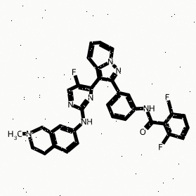 CN1CCc2ccc(Nc3ncc(F)c(-c4c(-c5cccc(NC(=O)c6c(F)cccc6F)c5)nn5ccccc45)n3)cc2C1